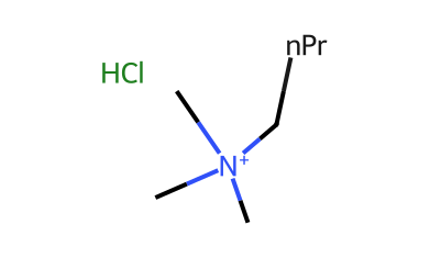 CCCC[N+](C)(C)C.Cl